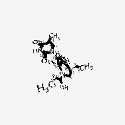 CC[C@@]12CN(C(=N)SC)[C@@H]([C@H](n3cc(C)c(=O)[nH]c3=O)O1)[C@@H]2O